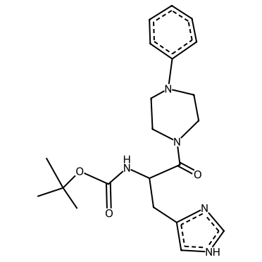 CC(C)(C)OC(=O)NC(Cc1c[nH]cn1)C(=O)N1CCN(c2ccccc2)CC1